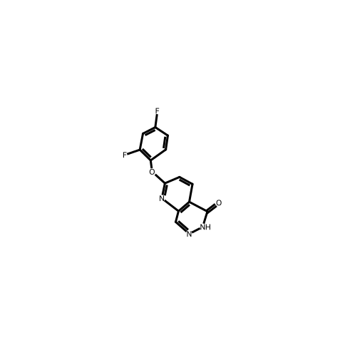 O=c1[nH]ncc2nc(Oc3ccc(F)cc3F)ccc12